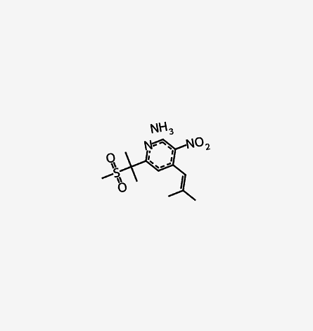 CC(C)=Cc1cc(C(C)(C)S(C)(=O)=O)ncc1[N+](=O)[O-].N